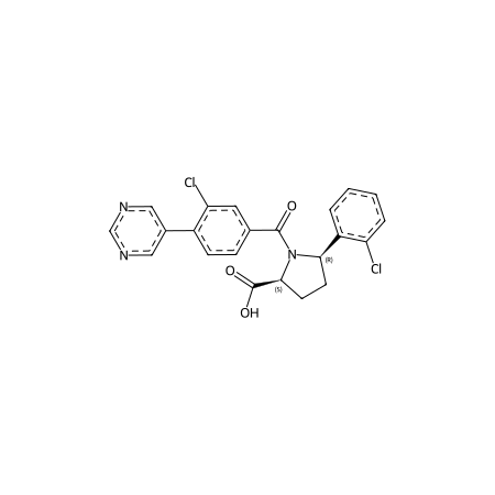 O=C(O)[C@@H]1CC[C@H](c2ccccc2Cl)N1C(=O)c1ccc(-c2cncnc2)c(Cl)c1